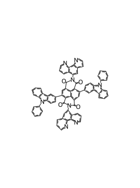 O=C1c2cc(-c3ccc4c(c3)c3ccccc3n4-c3ccccc3)c3c4c(cc(-c5ccc6c(c5)c5ccccc5n6-c5ccccc5)c(c24)C(=O)N1c1cc2cccnc2c2ncccc12)C(=O)N(c1cc2cccnc2c2ncccc12)C3=O